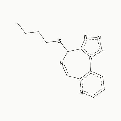 CCCCSC1N=Cc2ncccc2-n2cnnc21